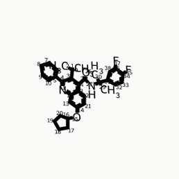 CC(C)c1c(-c2ccccc2)nc2cc(OC3CCCC3)ccc2c1C(=O)NC(C)(C)c1ccc(F)c(F)c1